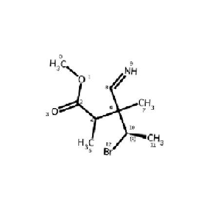 COC(=O)C(C)C(C)(C=N)[C@@H](C)Br